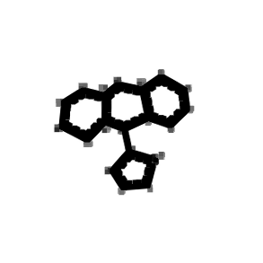 c1csc(-c2c3ccccc3cc3ccccc23)c1